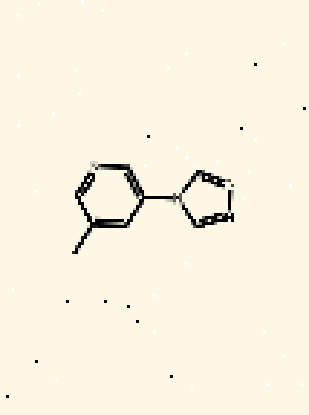 Cc1cncc(-n2cnnc2)c1